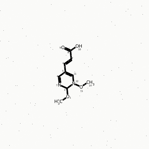 COC1N=CC(C=CC(=O)O)=CN1OC